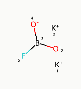 [K+].[K+].[O-]B([O-])F